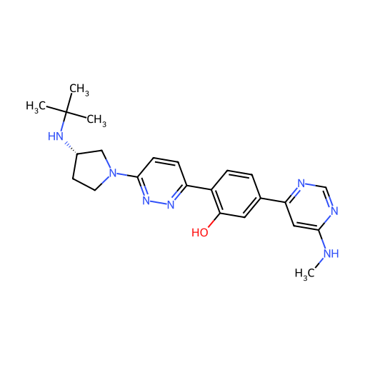 CNc1cc(-c2ccc(-c3ccc(N4CC[C@H](NC(C)(C)C)C4)nn3)c(O)c2)ncn1